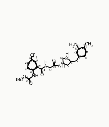 Cc1ccc(CC2CC(NC(=O)CNC(=O)c3cc(C(F)(F)F)ccc3NC(=O)OC(C)(C)C)CN2)cc1N